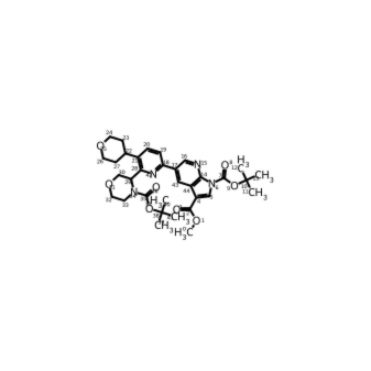 COC(=O)c1cn(C(=O)OC(C)(C)C)c2ncc(-c3ccc(C4CCOCC4)c(C4COCCN4C(=O)OC(C)(C)C)n3)cc12